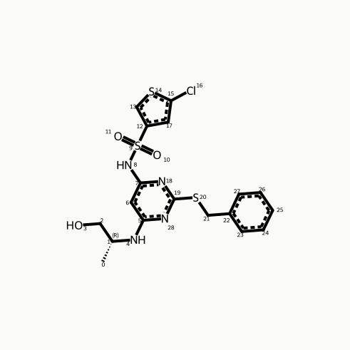 C[C@H](CO)Nc1cc(NS(=O)(=O)c2csc(Cl)c2)nc(SCc2ccccc2)n1